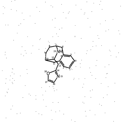 c1ccc2c(c1)CC1CCC(C2)C(Cc2ncco2)N1